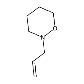 C=CCN1CCCCO1